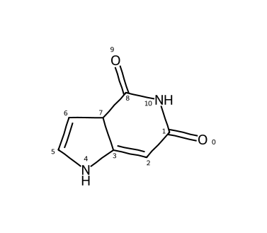 O=C1C=C2NC=CC2C(=O)N1